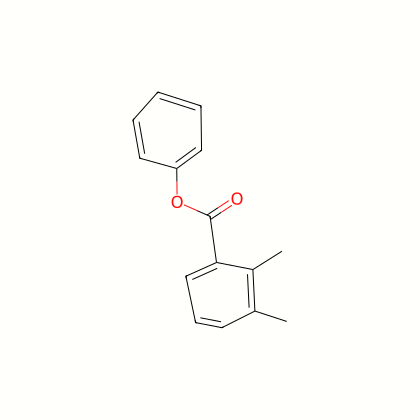 Cc1cccc(C(=O)Oc2ccccc2)c1C